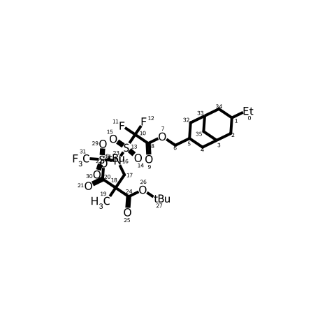 CCC1CC2CC(COC(=O)C(F)(F)S(=O)(=O)N(CC(C)(C(=O)OC(C)(C)C)C(=O)OC(C)(C)C)S(=O)(=O)C(F)(F)F)CC(C1)C2